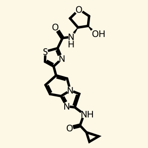 O=C(N[C@H]1COC[C@H]1O)c1nc(-c2ccc3nc(NC(=O)C4CC4)cn3c2)cs1